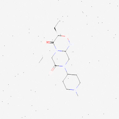 CC(C)C[C@H]1ON[C@H]2CN(C3CCN(C)CC3)C(=O)[C@H](CC(C)C)N2C1=O